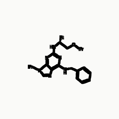 CC[C@H](COC(C)C)Nc1nc(NCc2ccccc2)c2ncn(C(C)C)c2n1